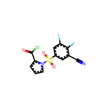 N#Cc1cc(S(=O)(=O)n2cccc2C(=O)Cl)cc(F)c1F